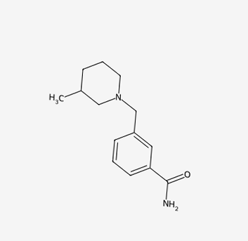 CC1CCCN(Cc2cccc(C(N)=O)c2)C1